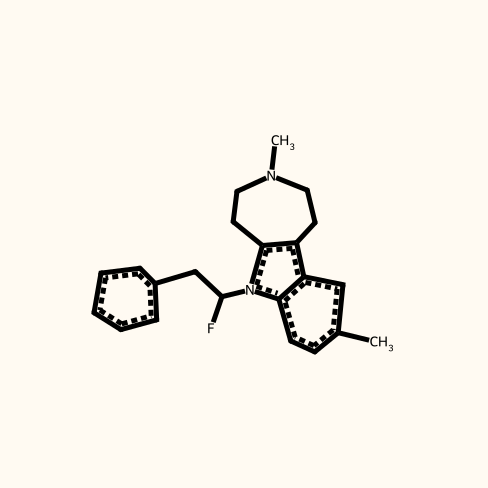 Cc1ccc2c(c1)c1c(n2C(F)Cc2ccccc2)CCN(C)CC1